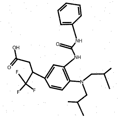 CC(C)CN(CC(C)C)c1ccc(C(CC(=O)O)C(F)(F)F)cc1NC(=O)Nc1ccccc1